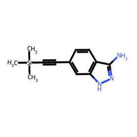 C[Si](C)(C)C#Cc1ccc2c(N)n[nH]c2c1